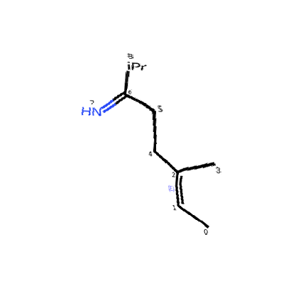 C/C=C(\C)CCC(=N)C(C)C